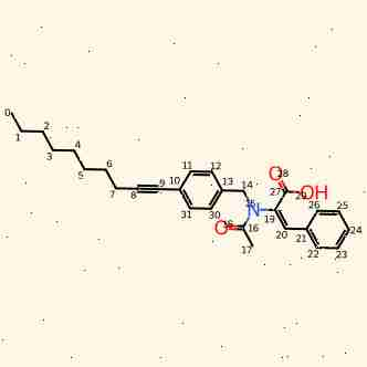 CCCCCCCCC#Cc1ccc(CN(C(C)=O)C(=Cc2ccccc2)C(=O)O)cc1